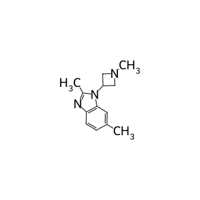 Cc1ccc2nc(C)n(C3CN(C)C3)c2c1